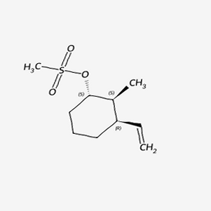 C=C[C@H]1CCC[C@H](OS(C)(=O)=O)[C@H]1C